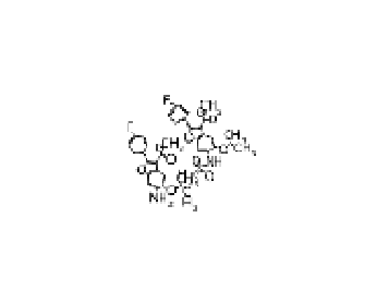 COC(=O)c1c(-c2ccc(F)cc2)oc2cc(N)c(OC(C)C)cc12.COC(=O)c1c(-c2ccc(F)cc2)oc2cc(NS(C)(=O)=O)c(OC(C)C)cc12